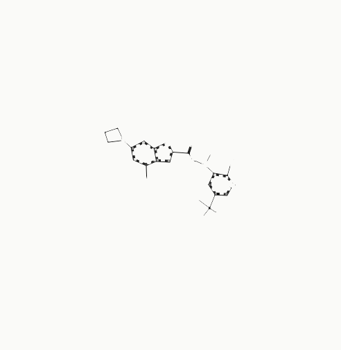 O=C(N[S+]([O-])c1cc(C(F)(F)F)cnc1Cl)c1cc2c(F)cc(N3CCC3)cc2o1